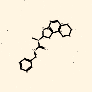 CN(C(=O)OCc1ccccc1)C1Cc2c(ccc3c2CCCC3)O1